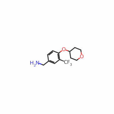 NCc1ccc(OC2CCOCC2)c(C(F)(F)F)c1